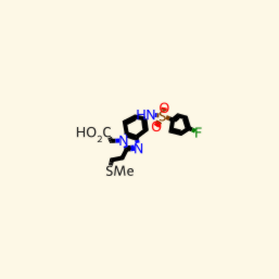 CSCCc1nc2cc(NS(=O)(=O)c3ccc(F)cc3)ccc2n1CC(=O)O